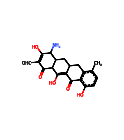 Cc1ccc(O)c2c1CC1CC3C(N)C(O)=C(C=O)C(=O)C3C(O)=C1C2=O